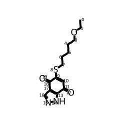 CCOCCCCCSC1=CC(=O)c2[nH]ncc2C1=O